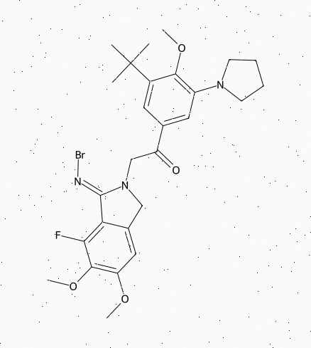 COc1cc2c(c(F)c1OC)/C(=N/Br)N(CC(=O)c1cc(N3CCCC3)c(OC)c(C(C)(C)C)c1)C2